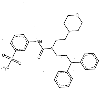 O=C(Nc1cccc(S(=O)(=O)C(F)(F)F)c1)N(CCC(c1ccccc1)c1ccccc1)CCN1CCOCC1